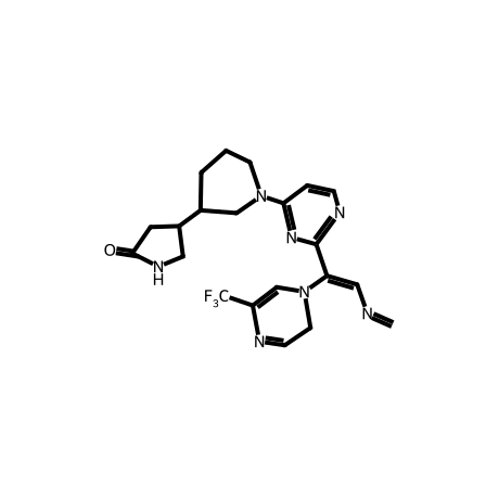 C=N/C=C(/c1nccc(N2CCCC(C3CNC(=O)C3)C2)n1)N1C=C(C(F)(F)F)N=CC1